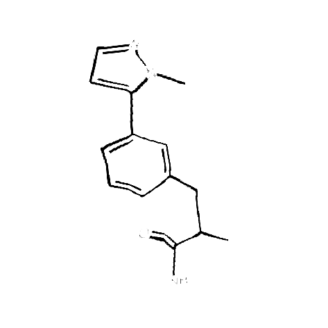 CC(Cc1cccc(-c2ccnn2C)c1)C(N)=O